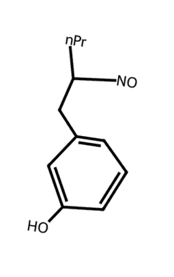 CCCC(Cc1cccc(O)c1)N=O